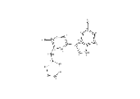 Fc1cnc(-c2c[nH]c3ncc(Cl)cc23)nc1NC1CCOCC1